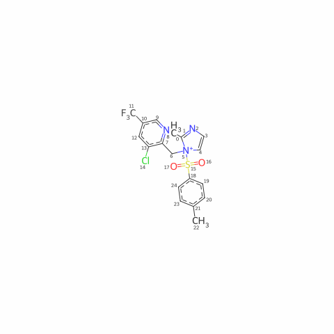 CC1=NC=C[N+]1(Cc1ncc(C(F)(F)F)cc1Cl)S(=O)(=O)c1ccc(C)cc1